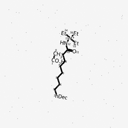 CC(=O)O.CCCCCCCCCCCCCCCCCC(=O)N[N+](CC)(CC)CC